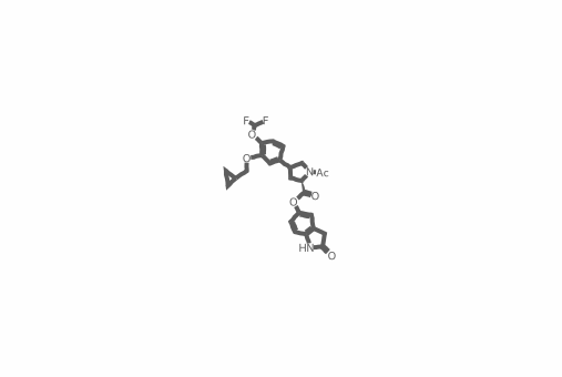 CC(=O)N1CC(c2ccc(OC(F)F)c(OCC3CC3)c2)C[C@@H]1C(=O)Oc1ccc2c(c1)CC(=O)N2